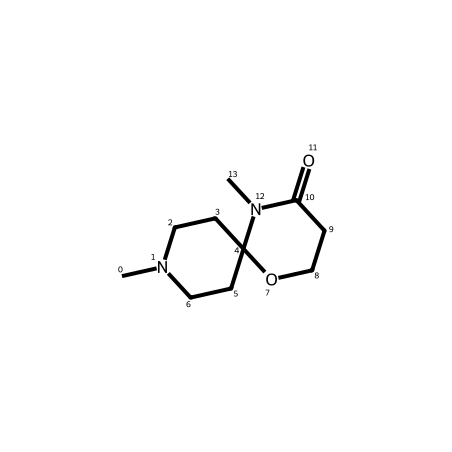 CN1CCC2(CC1)OCCC(=O)N2C